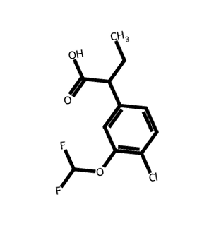 CCC(C(=O)O)c1ccc(Cl)c(OC(F)F)c1